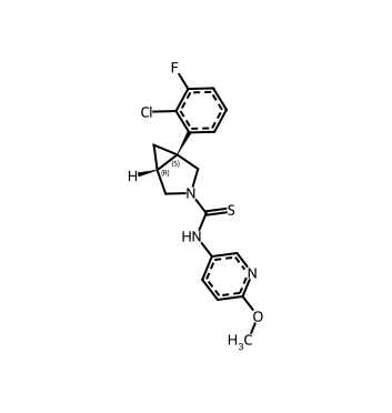 COc1ccc(NC(=S)N2C[C@@H]3C[C@]3(c3cccc(F)c3Cl)C2)cn1